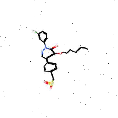 CCCCCCOc1c(-c2ccc(C[SH](=O)=O)cc2)cnn(-c2cccc(Cl)c2)c1=O